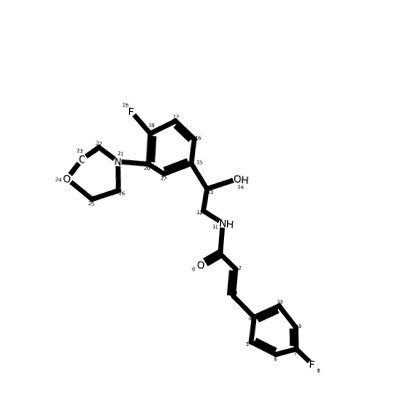 O=C(C=Cc1ccc(F)cc1)NCC(O)c1ccc(F)c(N2CCOCC2)c1